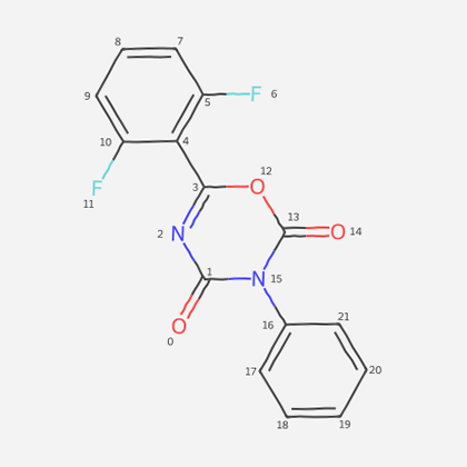 O=c1nc(-c2c(F)cccc2F)oc(=O)n1-c1ccccc1